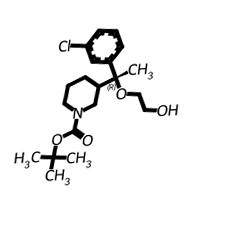 CC(C)(C)OC(=O)N1CCCC([C@@](C)(OCCO)c2cccc(Cl)c2)C1